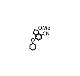 CO[C@@H]1CCc2c(OC3CCCCC3)ccc(C#N)c21